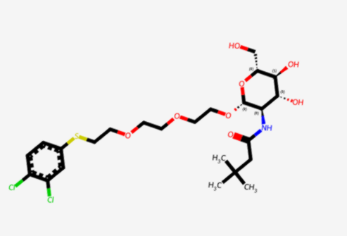 CC(C)(C)CC(=O)N[C@H]1[C@H](OCCOCCOCCSc2ccc(Cl)c(Cl)c2)O[C@H](CO)[C@@H](O)[C@@H]1O